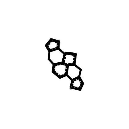 c1cc2c(s1)-c1ccc3c4c(ccc(c14)C2)-c1sccc1C3